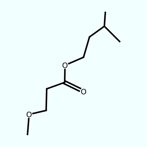 COCCC(=O)OCCC(C)C